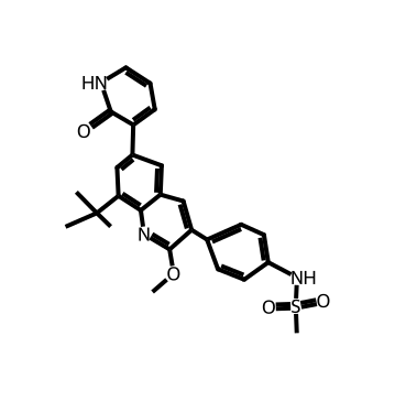 COc1nc2c(C(C)(C)C)cc(-c3ccc[nH]c3=O)cc2cc1-c1ccc(NS(C)(=O)=O)cc1